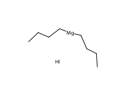 CCC[CH2][Mg][CH2]CCC.I